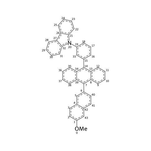 COc1ccc2cc(-c3c4ccccc4c(-c4cccc(-n5c6ccccc6c6ccccc65)c4)c4ccccc34)ccc2c1